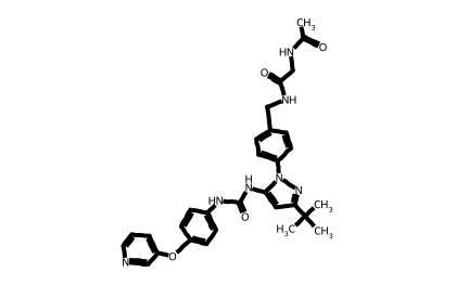 CC(=O)NCC(=O)NCc1ccc(-n2nc(C(C)(C)C)cc2NC(=O)Nc2ccc(Oc3cccnc3)cc2)cc1